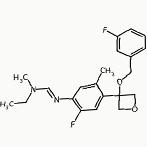 CCN(C)C=Nc1cc(C)c(C2(OCc3cccc(F)c3)COC2)cc1F